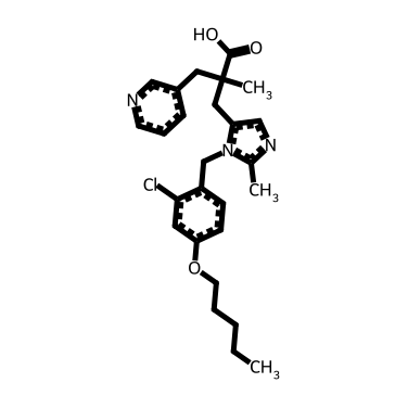 CCCCCOc1ccc(Cn2c(CC(C)(Cc3cccnc3)C(=O)O)cnc2C)c(Cl)c1